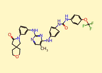 Cc1cnc(Nc2cccc(N3CC4(CCOCC4)CC3=O)c2)nc1Nc1ccc(NC(=O)Nc2ccc(OC(F)(F)F)cc2)cc1